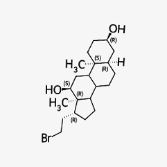 C[C@]12C(CC[C@@H]1CCBr)C1CC[C@@H]3C[C@H](O)CC[C@]3(C)C1C[C@@H]2O